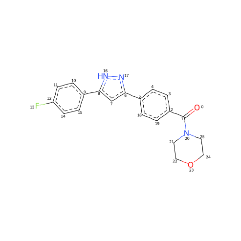 O=C(c1ccc(-c2cc(-c3ccc(F)cc3)[nH]n2)cc1)N1CCOCC1